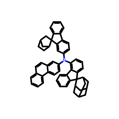 c1ccc2c(c1)-c1ccc(N(c3ccc4c(ccc5ccccc54)c3)c3cccc4c3-c3ccccc3C43C4CC5CC(C4)CC3C5)cc1C21CC2CCC1C2